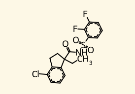 CCC1(C(=O)NS(=O)(=O)c2cccc(F)c2F)CCc2c(Cl)cccc21